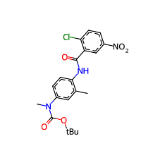 Cc1cc(N(C)C(=O)OC(C)(C)C)ccc1NC(=O)c1cc([N+](=O)[O-])ccc1Cl